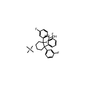 C[N+](C)(C)C.OB(O)OC1(c2cccc(F)c2)CCCCC1(c1cccc(F)c1)c1cccc(F)c1